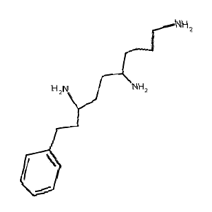 NCCCC(N)CCC(N)CCc1ccccc1